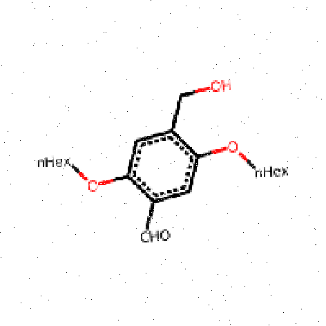 CCCCCCOc1cc(CO)c(OCCCCCC)cc1C=O